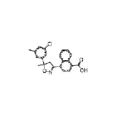 Cc1cc(Cl)cc(C2(C)CC(c3ccc(C(=O)O)c4ccccc34)=NO2)c1